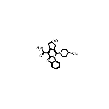 Cl.N#CC1CCN(c2c3c(c(C(N)=O)c4nc5ccccc5n24)CCC3)CC1